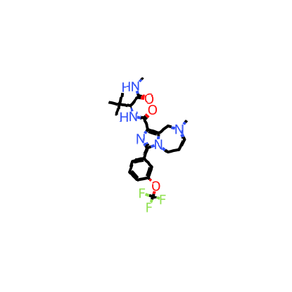 CNC(=O)[C@@H](NC(=O)c1nc(-c2cccc(OC(F)(F)F)c2)n2c1CN(C)CCC2)C(C)(C)C